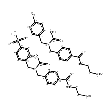 CCCCCCCCCCCCNC(=O)c1ccc(CN(Cc2ccc(C(F)(F)F)nc2)C(=O)C(=O)O)cc1.CCCCCCCCCCCCNC(=O)c1ccc(CN(Cc2ccc(S(C)(=O)=O)cc2)C(=O)C(=O)O)cc1